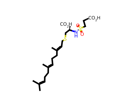 CC(C)=CCC/C(C)=C/CC/C(C)=C/CSC[C@H](NS(=O)(=O)CCC(=O)O)C(=O)O